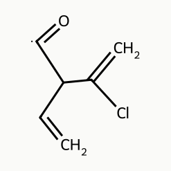 C=CC([C]=O)C(=C)Cl